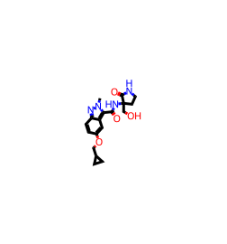 Cn1nc2ccc(OCC3CC3)cc2c1C(=O)NC1(CO)CCNC1=O